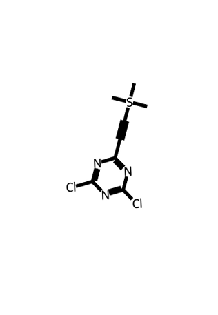 CS(C)(C)C#Cc1nc(Cl)nc(Cl)n1